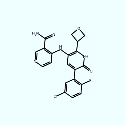 NC(=O)c1cnccc1Nc1cc(-c2cc(Cl)ccc2F)c(=O)[nH]c1C1COC1